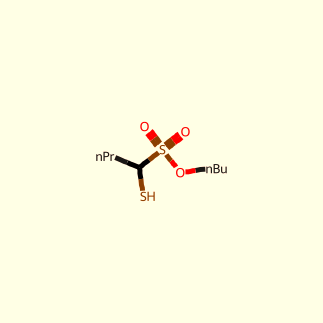 CCCCOS(=O)(=O)C(S)CCC